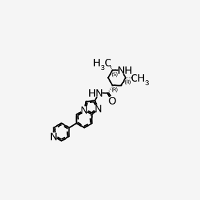 C[C@@H]1C[C@H](C(=O)Nc2cn3cc(-c4ccncc4)ccc3n2)C[C@H](C)N1